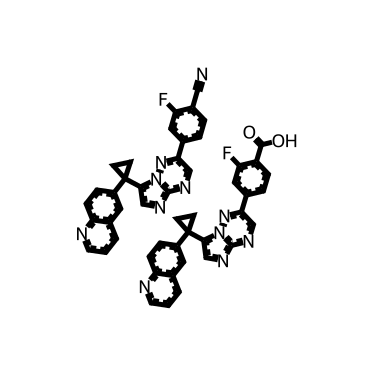 N#Cc1ccc(-c2cnc3ncc(C4(c5ccc6ncccc6c5)CC4)n3n2)cc1F.O=C(O)c1ccc(-c2cnc3ncc(C4(c5ccc6ncccc6c5)CC4)n3n2)cc1F